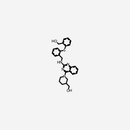 OCc1ccccc1Sc1ccccc1CNc1nc(N2CCCC(CO)C2)c2ccccc2n1